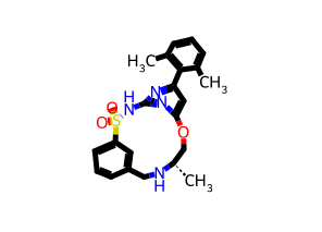 Cc1cccc(C)c1-c1cc2nc(n1)NS(=O)(=O)c1cccc(c1)CN[C@@H](C)CO2